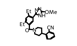 CCc1cc(CC)c(-c2nnc(OC)[nH]2)cc1C(=O)N1CCC(c2ccccc2C#N)CC1